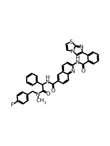 CN(Cc1ccc(F)cc1)C(=O)C(NC(=O)c1ccc2nc(NC(=O)c3ccccc3-c3cn4ccsc4n3)ccc2c1)c1ccccc1